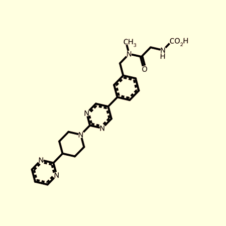 CN(Cc1cccc(-c2cnc(N3CCC(c4ncccn4)CC3)nc2)c1)C(=O)CNC(=O)O